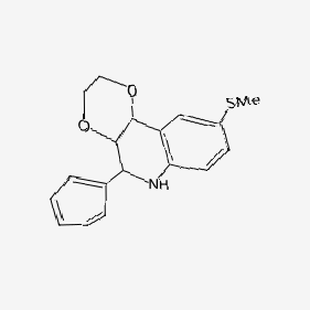 CSc1ccc2c(c1)C1OCCOC1C(c1ccccc1)N2